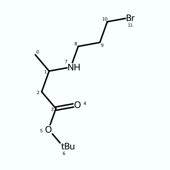 CC(CC(=O)OC(C)(C)C)NCCCBr